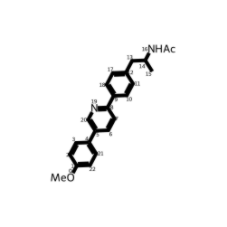 COc1ccc(-c2ccc(-c3ccc(CC(C)NC(C)=O)cc3)nc2)cc1